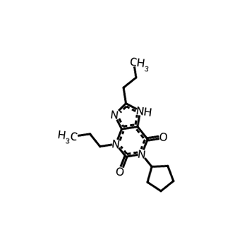 CCCc1nc2c([nH]1)c(=O)n(C1CCCC1)c(=O)n2CCC